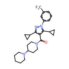 O=C(c1c(C2CC2)nn(-c2cccc(C(F)(F)F)c2)c1C1CC1)N1CCC(N2CCCCC2)CC1